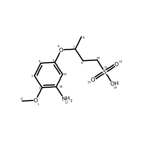 COc1ccc(OC(C)CCS(=O)(=O)O)cc1N